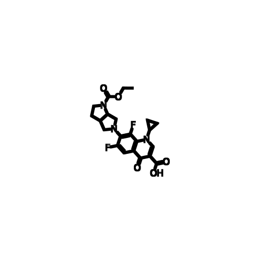 CCOC(=O)N1CCC2CN(c3c(F)cc4c(=O)c(C(=O)O)cn(C5CC5)c4c3F)CC21